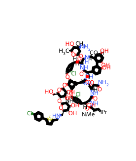 CN[C@H](CC(C)C)C(=O)NC1C(=O)N[C@@H](CC(N)=O)C(=O)N[C@H]2C(=O)N[C@H]3C(=O)N[C@H](C(=O)N[C@@H](C(=O)O)c4cc(O)cc(O)c4-c4cc3ccc4O)[C@H](O[C@H]3C[C@](C)(N)[C@@H](O)[C@H](C)O3)c3ccc(c(Cl)c3)Oc3cc2cc(c3O[C@@H]2O[C@H](CO)[C@@H](O[C@@H]3O[C@H](CNCc4ccc(-c5ccc(Cl)cc5)s4)[C@H](O)[C@H](O)[C@H]3NC(C)=O)[C@H](O)[C@H]2O)Oc2ccc(cc2Cl)[C@H]1O